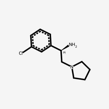 N[C@@H](CN1CCCC1)c1cccc(Cl)c1